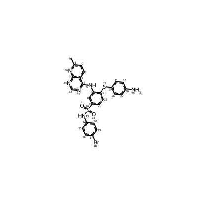 Cc1ccc2c(Nc3cc(S(=O)(=O)Nc4ccc(Br)cc4)ccc3Sc3ccc(N)cc3)ncnc2n1